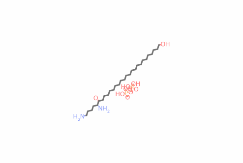 NCCCC[C@H](N)C(=O)CCCCCCCCCCCCCCCCCCCCCCO.O=P(O)(O)OP(=O)(O)O